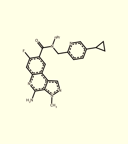 CCCN(Cc1ccc(C2CC2)cn1)C(=O)c1cc2c(cc1F)nc(N)c1c2cnn1C